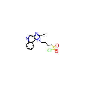 CCc1nc2cnc3ccccc3c2n1CCCCS(=O)(=O)Cl